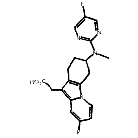 CN(c1ncc(F)cn1)C1CCc2c(CC(=O)O)c3cc(F)ccn3c2C1